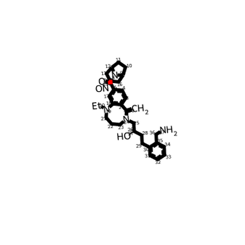 C=C1c2ccc(C(=O)N3C4CCC3CC(N=O)C4)cc2N(CC)CCCN1C[C@@H](O)CCc1ccccc1CN